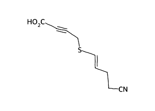 N#CCCC=CSCC#CC(=O)O